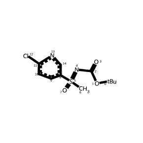 CC(C)(C)OC(=O)N=S(C)(=O)c1ccc(Cl)nc1